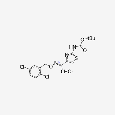 CC(C)(C)OC(=O)Nc1nc(/C([C]=O)=N/OCc2cc(Cl)ccc2Cl)cs1